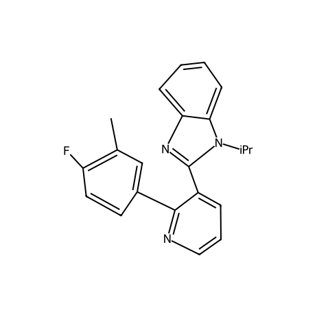 Cc1cc(-c2ncccc2-c2nc3ccccc3n2C(C)C)ccc1F